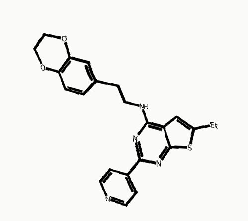 CCc1cc2c(NCCc3ccc4c(c3)OCCO4)nc(-c3ccncc3)nc2s1